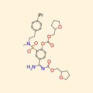 CC(C)c1ccc(CCN(C)S(=O)(=O)c2cc(/C(N)=N\C(=O)OCC3CCCO3)ccc2OC(=O)OCC2CCCO2)cc1